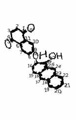 O=C1C=CC(=O)c2ccccc21.Oc1ccc2cc3ccccc3cc2c1O